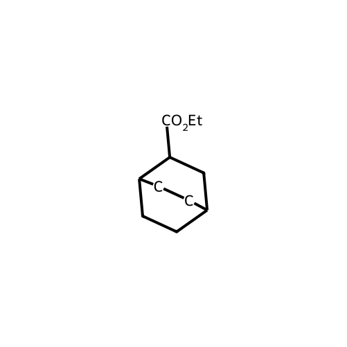 CCOC(=O)C1CC2CCC1CC2